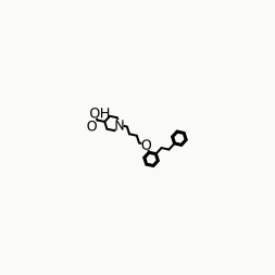 O=C(O)C1CCN(CCCCOc2ccccc2CCc2ccccc2)CC1